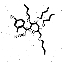 CCCCOCC1O[C@H]([C@H](N=[N+]=[N-])c2ccc(Br)cc2C)C(OCCCC)[C@@H](OCCCC)[C@@H]1OCCCC